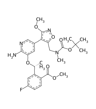 COC(=O)c1ccc(F)cc1[C@@H](C)Oc1cc(-c2c(OC)noc2CN(C)C(=O)OC(C)(C)C)cnc1N